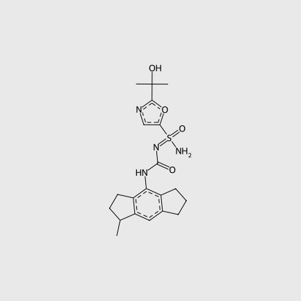 CC1CCc2c1cc1c(c2NC(=O)N=S(N)(=O)c2cnc(C(C)(C)O)o2)CCC1